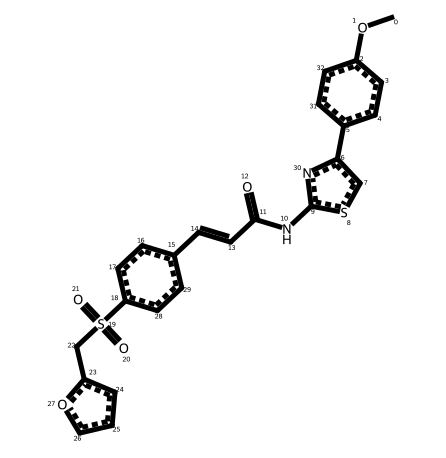 COc1ccc(-c2csc(NC(=O)C=Cc3ccc(S(=O)(=O)Cc4ccco4)cc3)n2)cc1